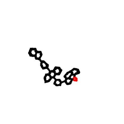 c1cc(-c2c3ccccc3c(-c3ccc(-c4ccc5ccccc5c4)cc3)c3ccccc23)cc(-c2ccc3oc4cccc5ccc2c3c54)c1